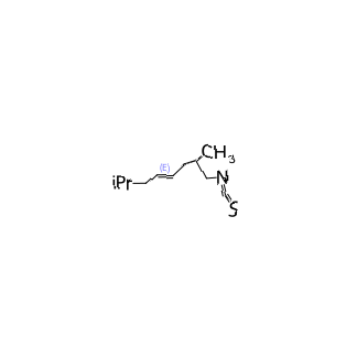 CC(C)C/C=C/CC(C)CN=C=S